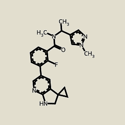 CC(c1cnn(C)c1)N(C)C(=O)c1cccc(-c2cnc3c(c2)C2(CC2)CN3)c1F